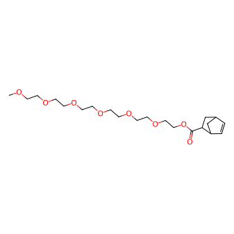 COCCOCCOCCOCCOCCOCCOC(=O)C1CC2C=CC1C2